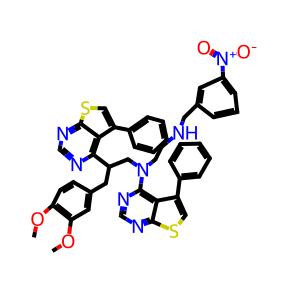 COc1ccc(CC(CN(CCNCc2cccc([N+](=O)[O-])c2)c2ncnc3scc(-c4ccccc4)c23)c2ncnc3scc(-c4ccccc4)c23)cc1OC